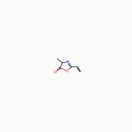 C=CC1=NC(C)C(=O)O1